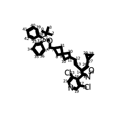 CC(C)(C)[Si](OCC1CC2(CC(C=Cc3c(-c4c(Cl)cncc4Cl)noc3C3CC3)C2)C1)(c1ccccc1)c1ccccc1